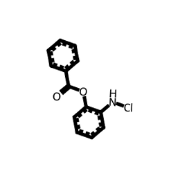 O=C(Oc1ccccc1NCl)c1ccccc1